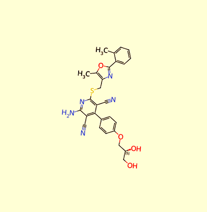 Cc1ccccc1-c1nc(CSc2nc(N)c(C#N)c(-c3ccc(OC[C@@H](O)CO)cc3)c2C#N)c(C)o1